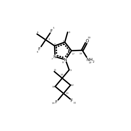 Cc1c(C(C)(F)F)nn(CC2(C)CC(F)(F)C2)c1C(N)=O